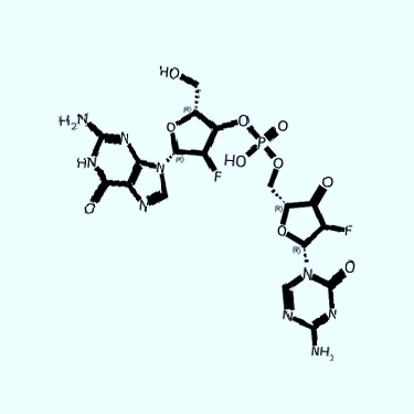 Nc1ncn([C@@H]2O[C@H](COP(=O)(O)OC3C(F)[C@H](n4cnc5c(=O)[nH]c(N)nc54)O[C@@H]3CO)C(=O)C2F)c(=O)n1